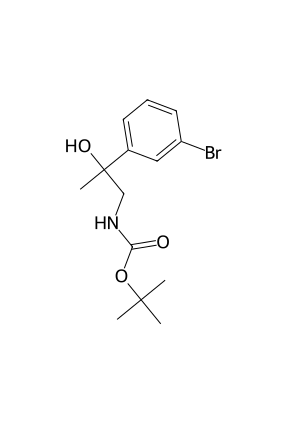 CC(C)(C)OC(=O)NCC(C)(O)c1cccc(Br)c1